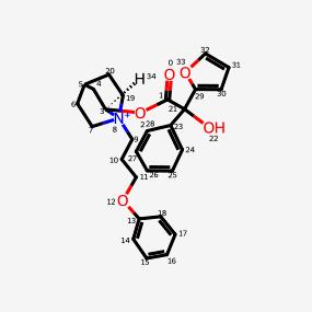 O=C(O[C@@H]1CC2CC[N+]1(CCCOc1ccccc1)CC2)C(O)(c1ccccc1)c1ccco1